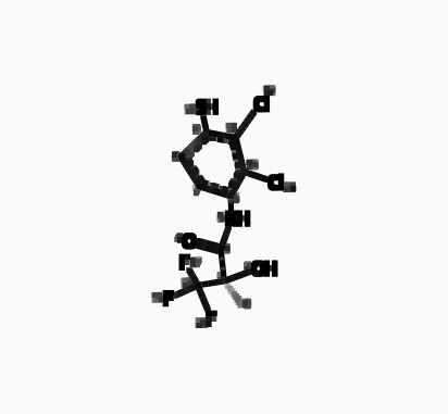 C[C@@](O)(C(=O)Nc1ccc(S)c(Cl)c1Cl)C(F)(F)F